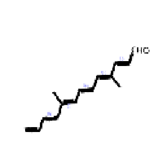 C=C/C=C/C(C)=C/C=C/C=C(C)/C=C/C=O